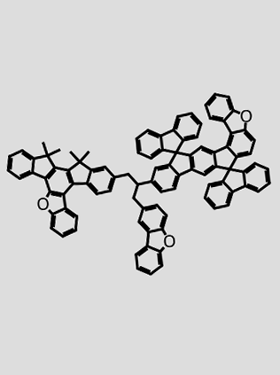 CC1(C)c2ccccc2-c2c1c1c(c3c2oc2ccccc23)-c2ccc(CC(Cc3ccc4oc5ccccc5c4c3)c3ccc4c(c3)C3(c5ccccc5-c5ccccc53)c3cc5c(cc3-4)C3(c4ccccc4-c4ccccc43)c3ccc4oc6ccccc6c4c3-5)cc2C1(C)C